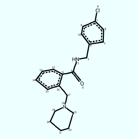 O=C(NCc1ccc(Cl)cc1)c1ccccc1CN1CCCCC1